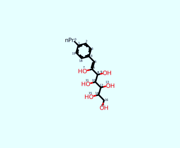 CCCc1ccc(C=C(O)C(O)C(O)C(O)C(O)CO)cc1